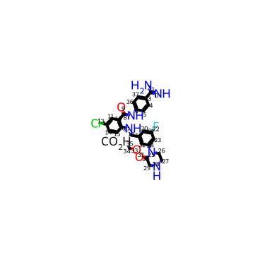 N=C(N)c1ccc(NC(=O)c2cc(Cl)ccc2NCc2cc(F)cc(N3CCNCC3=O)c2OCC(=O)O)cc1